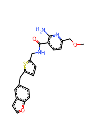 COCc1ccc(C(=O)NCc2ccc(Cc3ccc4occc4c3)s2)c(N)n1